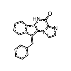 O=c1[nH]c2c3ccccc3c(=Cc3ccccc3)c2n2ccnc12